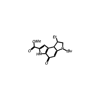 CCC1CN(C(C)(C)C)C2=CC(=O)c3[nH]c(C(=O)OC)cc3C21